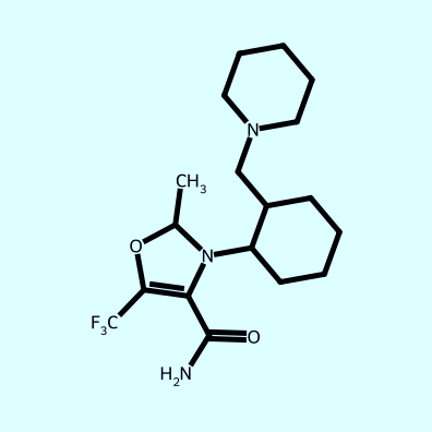 CC1OC(C(F)(F)F)=C(C(N)=O)N1C1CCCCC1CN1CCCCC1